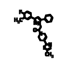 Cc1cnc(C2=CCN(C(=O)Cn3nc(-c4ccc(F)c(C)c4)cc3-c3ccccc3)CC2)s1